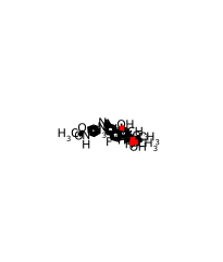 COC(=O)Nc1ccc(-n2ncc3c2C=C2[C@@H](F)C[C@@H]4[C@H]([C@@H](O)C[C@@]5(C)[C@H]4C[C@H]4OC(C)(C)O[C@]45C(=O)CO)[C@@]2(C)C3)cc1